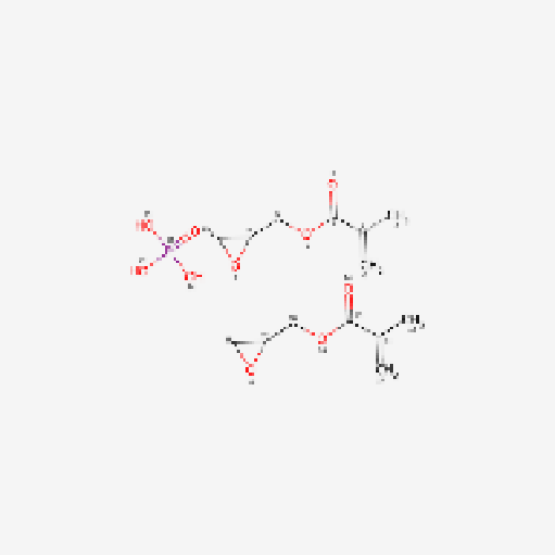 C=C(C)C(=O)OCC1CO1.C=C(C)C(=O)OCC1CO1.O=P(O)(O)O